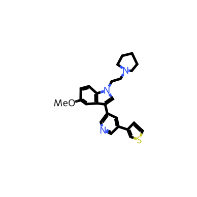 COc1ccc2c(c1)c(-c1cncc(-c3ccsc3)c1)cn2CCN1CCCCC1